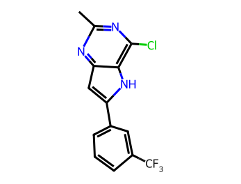 Cc1nc(Cl)c2[nH]c(-c3cccc(C(F)(F)F)c3)cc2n1